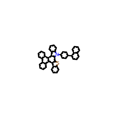 c1ccc2c(-c3ccc(-n4c5ccccc5c5c6c7ccccc7c7ccccc7c6c6c7ccccc7sc6c54)cc3)cccc2c1